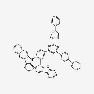 c1ccc(-c2ccc(-c3nc(-c4ccc(-c5ccccc5)cc4)nc(-c4ccc(-n5c6ccccc6c6cc7ccccc7cc65)c(-c5cccc6c5oc5ccccc56)c4)n3)cc2)cc1